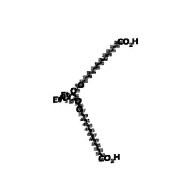 CCN(CC)Cc1cc(OCCOCCCCCCCC=CCC=CCCCCCCCC(=O)O)cc(OCCOCCCCCCCC=CCC=CCCCCCCCC(=O)O)c1